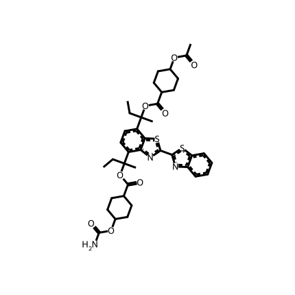 CCC(C)(OC(=O)C1CCC(OC(N)=O)CC1)c1ccc(C(C)(CC)OC(=O)C2CCC(OC(C)=O)CC2)c2sc(-c3nc4ccccc4s3)nc12